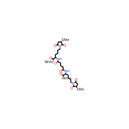 CSC1CC(=O)N(CCCCC(NC(=O)CCCC(=O)NC(CCCCN2C(=O)CC(SC)C2=O)C(=O)NC(C)=O)C(=O)NC(C)=O)C1=O